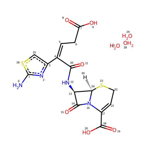 Nc1nc(/C(=C/CC(=O)O)C(=O)N[C@@H]2C(=O)N3C(C(=O)O)=CCS[C@H]23)cs1.O.O.O